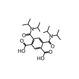 CC(C)N(C(=O)c1cc(C(=O)N(C(C)C)C(C)C)c(C(=O)O)cc1C(=O)O)C(C)C